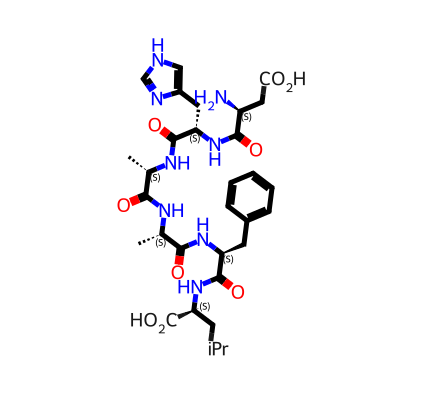 CC(C)C[C@H](NC(=O)[C@H](Cc1ccccc1)NC(=O)[C@H](C)NC(=O)[C@H](C)NC(=O)[C@H](Cc1c[nH]cn1)NC(=O)[C@@H](N)CC(=O)O)C(=O)O